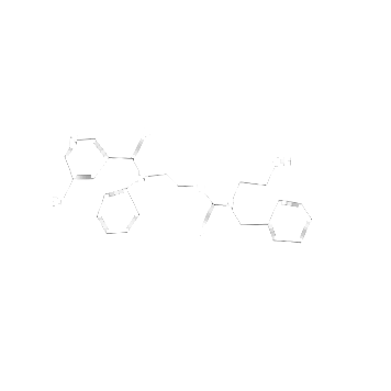 O=C(OCCN(C(=O)c1cncc(Br)c1)c1ccccc1)N(CCO)Cc1ccccc1